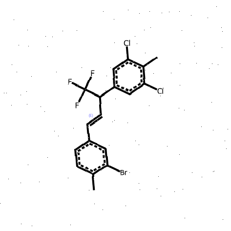 Cc1ccc(/C=C/C(c2cc(Cl)c(C)c(Cl)c2)C(F)(F)F)cc1Br